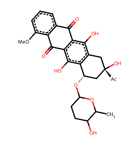 COc1cccc2c1C(=O)c1c(O)c3c(c(O)c1C2=O)C[C@@](O)(C(C)=O)C[C@@H]3OC1CCC(O)C(C)O1